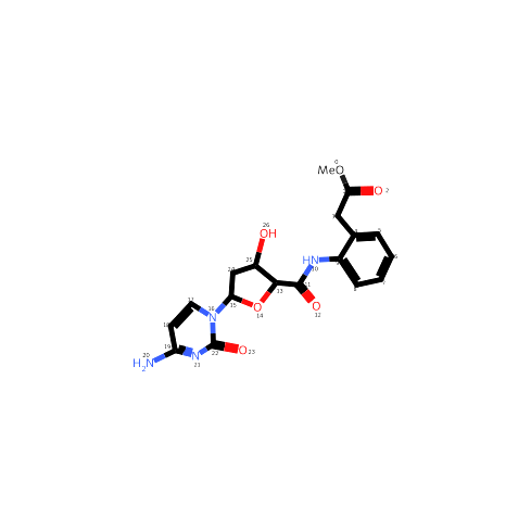 COC(=O)Cc1ccccc1NC(=O)C1OC(n2ccc(N)nc2=O)CC1O